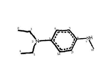 CCN(CC)c1ccc(NC)cc1